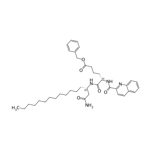 CCCCCCCCCCCCC[C@@H](CC(N)=O)NC(=O)[C@H](CCCC(=O)OCc1ccccc1)NC(=O)c1ccc2ccccc2n1